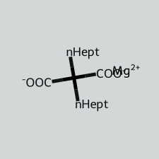 CCCCCCCC(CCCCCCC)(C(=O)[O-])C(=O)[O-].[Mg+2]